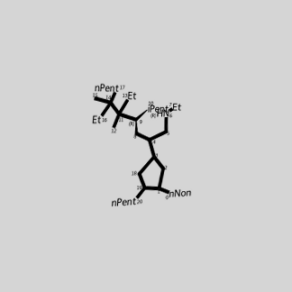 CCCCCCCCCC1CC(C(CNCC)C[C@H]([C@H](C)CCC)C(C)(CC)C(C)(CC)CCCCC)CC1CCCCC